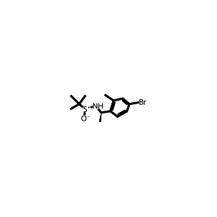 Cc1cc(Br)ccc1[C@@H](C)N[S+]([O-])C(C)(C)C